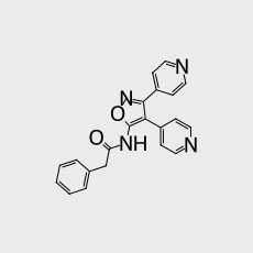 O=C(Cc1ccccc1)Nc1onc(-c2ccncc2)c1-c1ccncc1